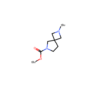 CC(C)(C)OC(=O)N1CCC2(C1)CN(C(C)(C)C)C2